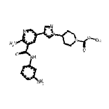 CC(C)(C)OC(=O)N1CCC(n2cc(-c3cnc(N)c(C(=O)Nc4cccc(N)c4)c3)cn2)CC1